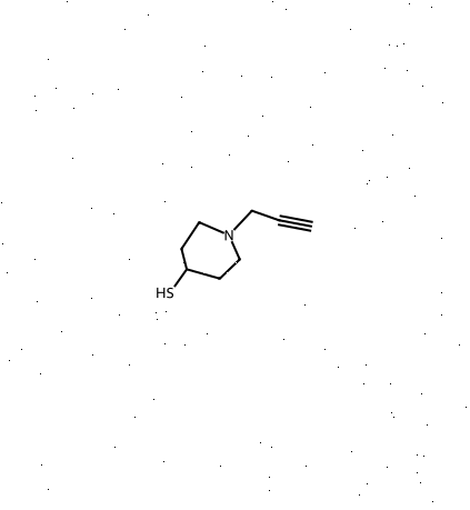 C#CCN1CCC(S)CC1